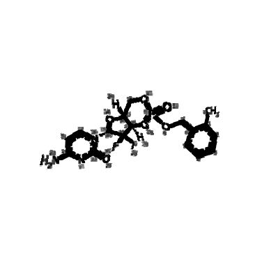 Cc1ccccc1COP1(=O)OC[C@H]2O[C@@H](n3ccc(N)nc3=O)C(F)(F)[C@@H]2O1